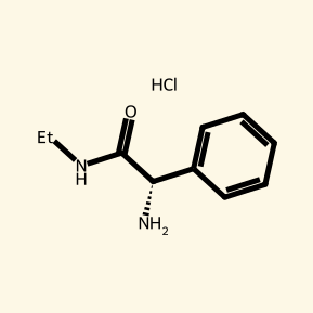 CCNC(=O)[C@@H](N)c1ccccc1.Cl